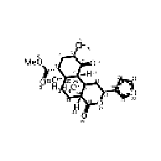 COC(=O)[C@@H]1C[C@@H](C)C(=O)[C@H]2[C@@]1(C)CC[C@H]1C(=O)O[C@H](c3ccoc3)C[C@]21C